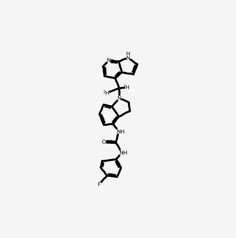 [2H]C([2H])(c1ccnc2[nH]ccc12)N1CCc2c(NC(=O)Nc3ccc(F)cc3)cccc21